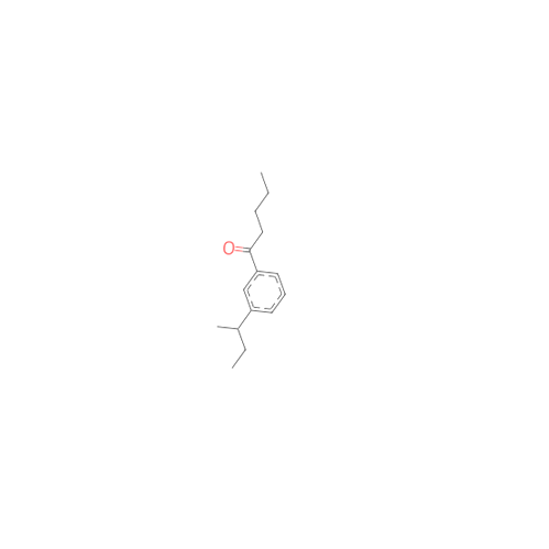 CCCCC(=O)c1cccc(C(C)CC)c1